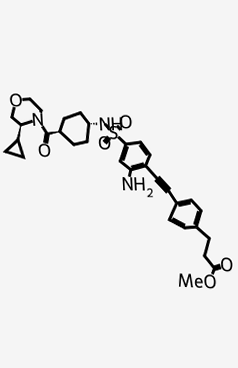 COC(=O)CCc1ccc(C#Cc2ccc(S(=O)(=O)N[C@H]3CC[C@H](C(=O)N4CCOC[C@@H]4C4CC4)CC3)cc2N)cc1